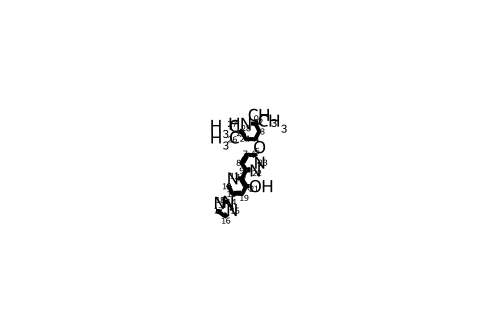 CC1(C)CC(Oc2ccc(-c3ncc(-n4nccn4)cc3O)nn2)CC(C)(C)N1